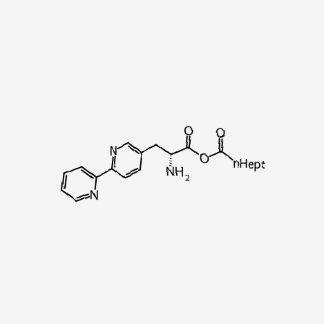 CCCCCCCC(=O)OC(=O)[C@H](N)Cc1ccc(-c2ccccn2)nc1